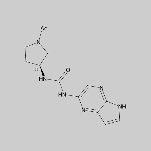 CC(=O)N1CC[C@H](NC(=O)Nc2cnc3[nH]ccc3n2)C1